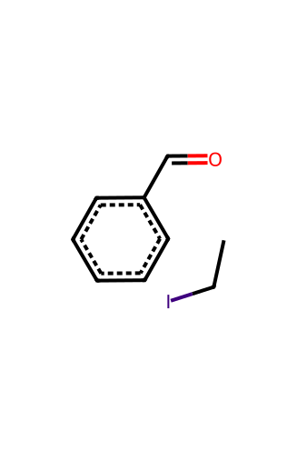 CCI.O=Cc1ccccc1